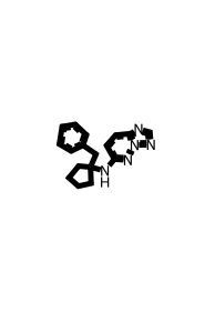 c1ccc(CC2(Nc3ccc4ncnn4n3)CCCC2)cc1